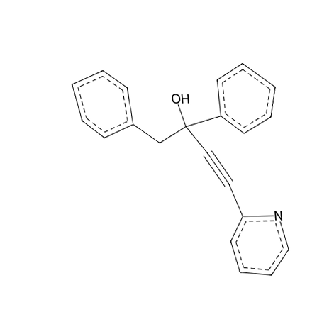 OC(C#Cc1ccccn1)(Cc1ccccc1)c1ccccc1